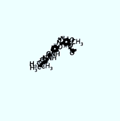 COc1cc2ncnc(Oc3cccc(NC(=O)Nc4cc(C(C)(C)C)on4)c3)c2cc1OC[C@H]1CO1